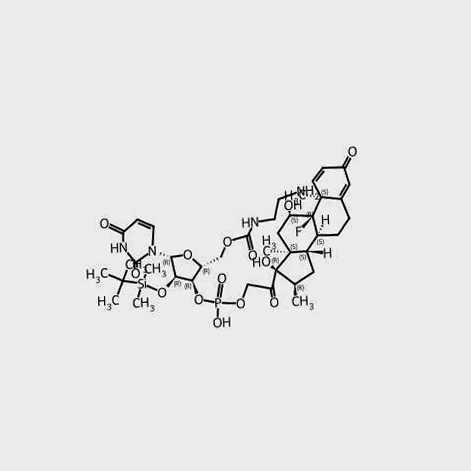 C[C@@H]1C[C@H]2[C@@H]3CCC4=CC(=O)C=C[C@]4(C)[C@@]3(F)[C@@H](O)C[C@]2(C)[C@@]1(O)C(=O)COP(=O)(O)O[C@H]1[C@@H](O[Si](C)(C)C(C)(C)C)[C@H](n2ccc(=O)[nH]c2=O)O[C@@H]1COC(=O)NCCN